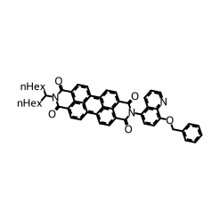 CCCCCCC(CCCCCC)N1C(=O)c2ccc3c4ccc5c6c(ccc(c7ccc(c2c37)C1=O)c64)C(=O)N(c1ccc(OCc2ccccc2)c2ncccc12)C5=O